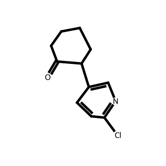 O=C1CCCCC1c1ccc(Cl)nc1